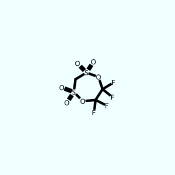 O=S1(=O)CS(=O)(=O)OC(F)(F)C(F)(F)O1